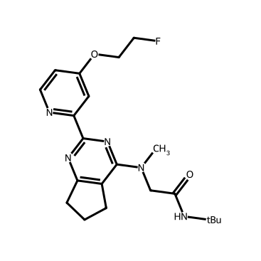 CN(CC(=O)NC(C)(C)C)c1nc(-c2cc(OCCF)ccn2)nc2c1CCC2